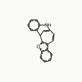 C1=Cc2c(oc3ccccc23)C2C=C1Nc1ccccc12